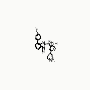 Fc1ccc(-c2cccc3[nH]c(-c4n[nH]c5cnc(C6CCNCC6)cc45)nc23)cc1